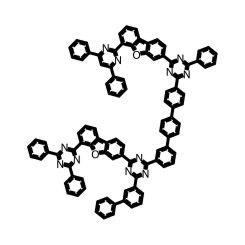 c1ccc(-c2cccc(-c3nc(-c4cccc(-c5ccc(-c6ccc(-c7nc(-c8ccccc8)nc(-c8ccc9c(c8)oc8c(-c%10nc(-c%11ccccc%11)cc(-c%11ccccc%11)n%10)cccc89)n7)cc6)cc5)c4)nc(-c4ccc5c(c4)oc4c(-c6nc(-c7ccccc7)nc(-c7ccccc7)n6)cccc45)n3)c2)cc1